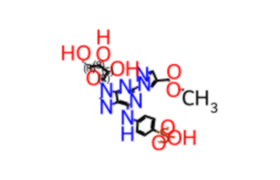 CCOC(=O)c1cnn(-c2nc(Nc3ccc(S(=O)(=O)O)cc3)c3ncn([C@@H]4O[C@H](CO)[C@@H](O)[C@@H]4O)c3n2)c1